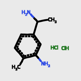 Cc1ccc(C(C)N)cc1N.Cl.Cl